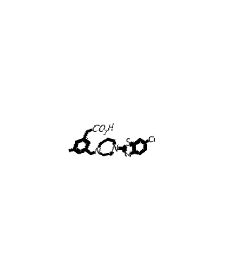 Cc1cc(CC(=O)O)cc(CN2CCCN(c3nc4ccc(Cl)cc4s3)CC2)c1